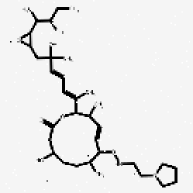 CCC(O)C(C)C1OC1CC(C)(O)/C=C/C=C(\C)C1OC(=O)CC(O)CCC(C)C(ONCCN2CCCC2)/C=C/C1C